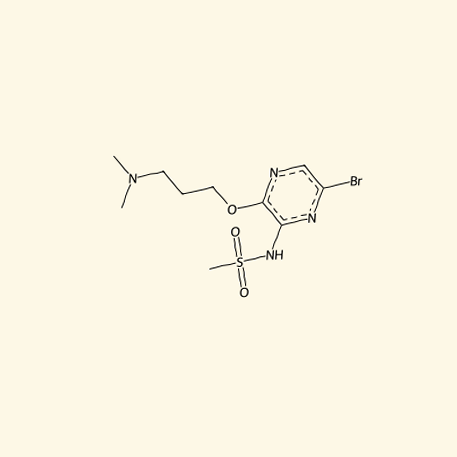 CN(C)CCCOc1ncc(Br)nc1NS(C)(=O)=O